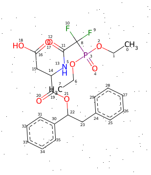 CCOP(=O)(OCC)C(F)(F)C(=O)NC(CC(=O)O)C(=O)OC(Cc1ccccc1)c1ccccc1